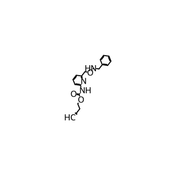 C#CCCOC(=O)Nc1cccc(CONCc2ccccc2)n1